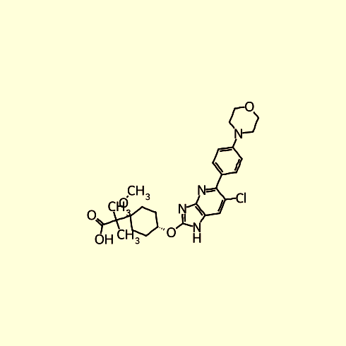 CO[C@]1(C(C)(C)C(=O)O)CC[C@H](Oc2nc3nc(-c4ccc(N5CCOCC5)cc4)c(Cl)cc3[nH]2)CC1